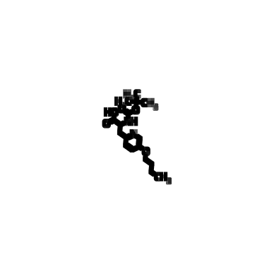 CCCCOc1ccc(CC(NC(=O)OC(C)(C)C)C(=O)O)nc1